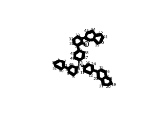 c1ccc(-c2cccc(N(c3ccc(-c4ccc5ccccc5c4)cc3)c3ccc(-c4cccc5c4oc4c6ccccc6ccc54)cc3)c2)cc1